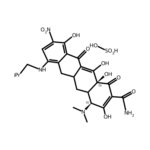 CC(C)CNc1cc([N+](=O)[O-])c(O)c2c1CC1CC3[C@H](N(C)C)C(O)=C(C(N)=O)C(=O)[C@@]3(O)C(O)=C1C2=O.O=S(=O)(O)O